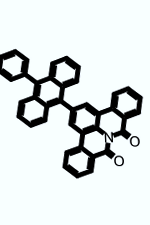 O=c1c2ccccc2c2cc(-c3c4ccccc4c(-c4ccccc4)c4ccccc34)cc3c4ccccc4c(=O)n1c23